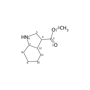 COC(=O)C1CNC2CCCCC21